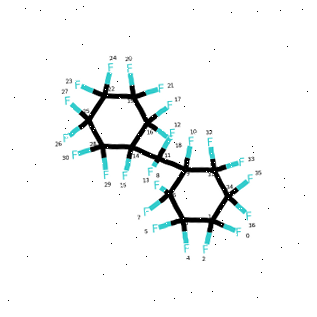 FC1(F)C(F)(F)C(F)(F)C(F)(C(F)(F)C2(F)C(F)(F)C(F)(F)C(F)(F)C(F)(F)C2(F)F)C(F)(F)C1(F)F